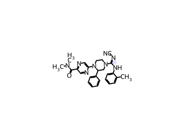 Cc1ccccc1N/C(=N/C#N)N1CCN(c2cnc(C(=O)N(C)C)cn2)C(c2ccccc2)C1